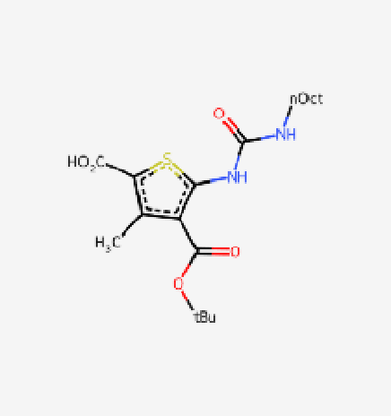 CCCCCCCCNC(=O)Nc1sc(C(=O)O)c(C)c1C(=O)OC(C)(C)C